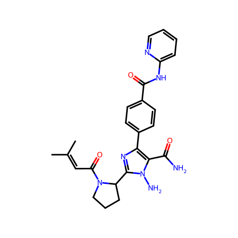 CC(C)=CC(=O)N1CCCC1c1nc(-c2ccc(C(=O)Nc3ccccn3)cc2)c(C(N)=O)n1N